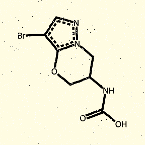 O=C(O)NC1COc2c(Br)cnn2C1